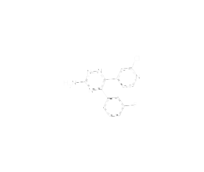 Nc1nnc(-c2ccnc(Cl)c2)c(-c2cccc(F)c2)n1